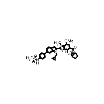 COc1cc(C(=O)N2CC3CCC2C3N)cc2nc(-c3cc4ccc(-c5ccc(NS(C)(=O)=O)cc5)cc4n3CC3CC3)n(C)c12